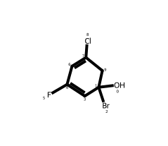 OC1(Br)C=C(F)C=C(Cl)C1